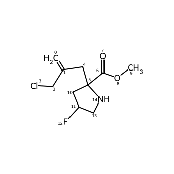 C=C(CCl)CC1(C(=O)OC)CC(F)CN1